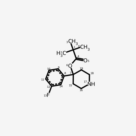 CC(C)(C)C(=O)OC1(c2cccc(F)c2)CCNCC1